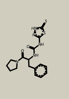 O=C(Nc1n[nH]c(=S)s1)NC(Cc1ccccc1)C(=O)N1CCCC1